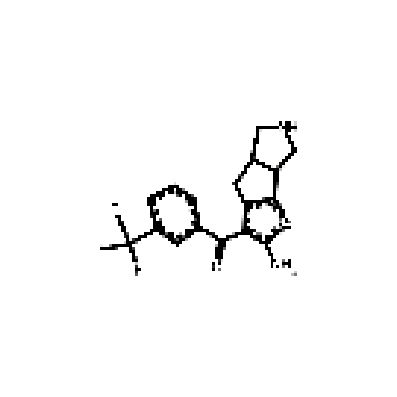 Nc1sc2c(c1C(=O)c1cccc(C(F)(F)F)c1)CC1CNCC21